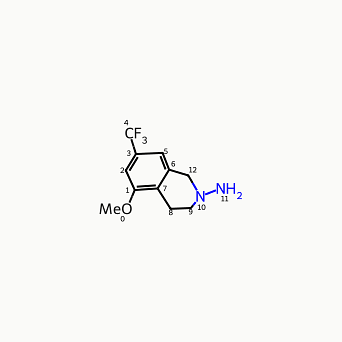 COc1cc(C(F)(F)F)cc2c1CCN(N)C2